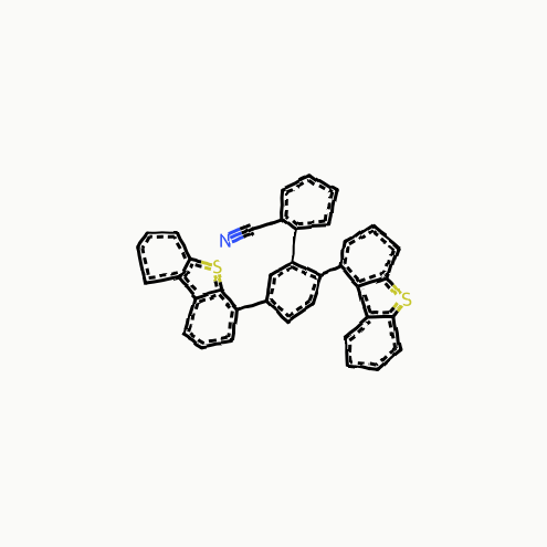 N#Cc1ccccc1-c1cc(-c2cccc3c2sc2ccccc23)ccc1-c1cccc2sc3ccccc3c12